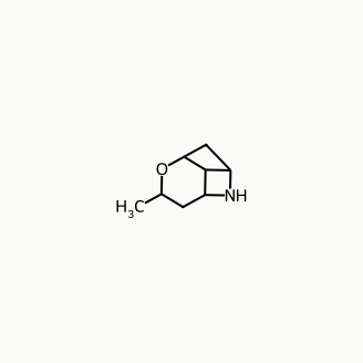 CC1CC2NC3CC(O1)C23